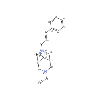 CC(C)CN1CC2CN(CC=Cc3ccccc3)CC(C1)C2(C)C